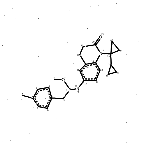 COP(Cc1ccc(C)cc1)Nc1ccc2c(c1)CCC(=O)N2C1(C2CC2)CC1